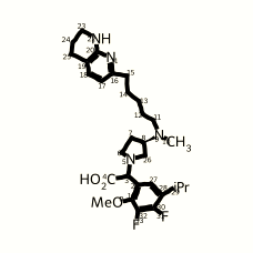 COc1c(C(C(=O)O)N2CC[C@@H](N(C)CCCCCc3ccc4c(n3)NCCC4)C2)cc(C(C)C)c(F)c1F